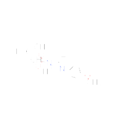 COc1ccc(N2C[C@@H]3C[C@H]2CN3C(=O)OC(C)(C)C)cc1